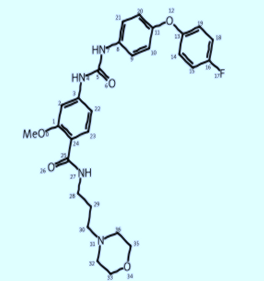 COc1cc(NC(=O)Nc2ccc(Oc3ccc(F)cc3)cc2)ccc1C(=O)NCCCN1CCOCC1